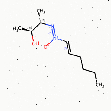 CCCC/C=C/[N+]([O-])=N/[C@@H](C)[C@H](C)O